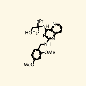 CCCC(C)(CO)Nc1nc(NCc2ccc(OC)cc2OC)nc2cccnc12